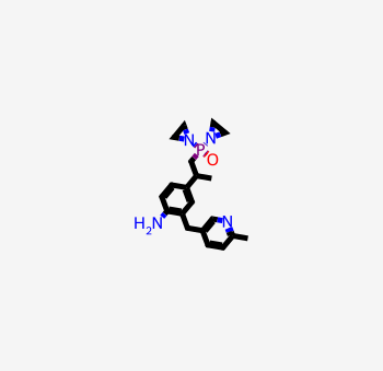 Cc1ccc(Cc2cc(C(C)CP(=O)(N3CC3)N3CC3)ccc2N)cn1